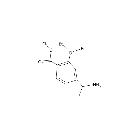 CCN(CC)c1cc(C(C)N)ccc1C(=O)OCl